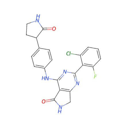 O=C1NCc2nc(-c3c(F)cccc3Cl)nc(Nc3ccc(C4CCNC4=O)cc3)c21